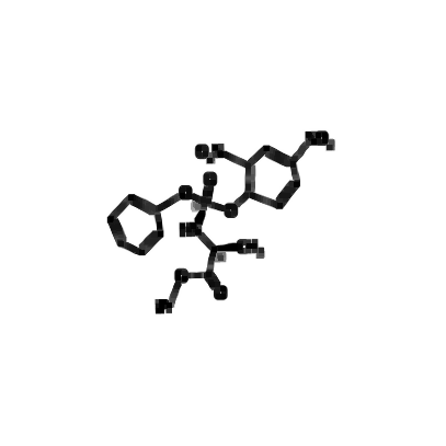 CC(C)OC(=O)[C@H](C)N[P@](=O)(Oc1ccccc1)Oc1ccc([N+](=O)[O-])cc1[N+](=O)[O-]